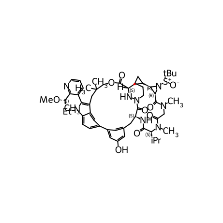 CCn1c(-c2cccnc2[C@H](C)OC)c2c3cc(ccc31)-c1cc(O)cc(c1)C[C@H](NC(=O)[C@H](C(C)C)N(C)C(=O)CN(C)C(=O)[C@H]1[C@@H](C3CC3)N1[S+]([O-])C(C)(C)C)C(=O)N1CCC[C@H](N1)C(=O)OCC(C)(C)C2